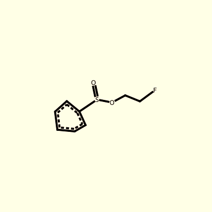 O=S(OCCF)c1ccccc1